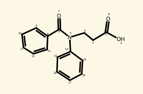 O=C(O)CCN(C(=O)c1ccccc1)c1ccccc1